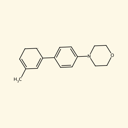 CC1=CC[CH]C(c2ccc(N3CCOCC3)cc2)=C1